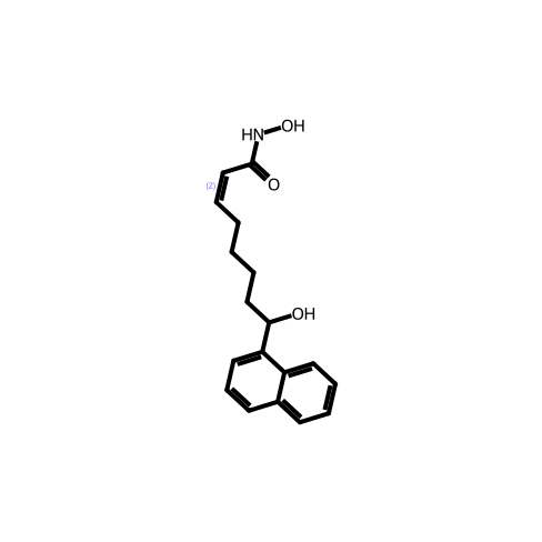 O=C(/C=C\CCCCC(O)c1cccc2ccccc12)NO